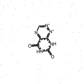 O=c1[nH]c(=O)c2c([nH]1)=[N+]=[N+]=CN=2